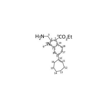 CCOC(=O)c1c(CN)n(C)c2cc(C3=CCCCCC3)ccc12